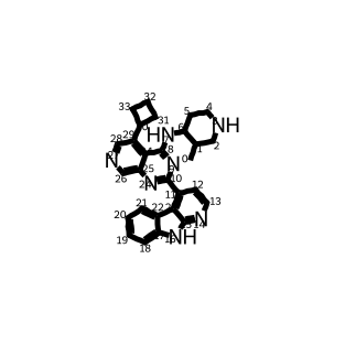 CC1CNCCC1Nc1nc(-c2ccnc3[nH]c4ccccc4c23)nc2cncc(C3CCC3)c12